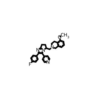 COc1cccc2c1CCN(CC1CCc3nc(-c4ccc(F)cc4)c(-c4ccncc4)n31)C2